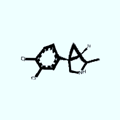 CC1NC[C@]2(c3ccc(Cl)c(Cl)c3)C[C@H]12